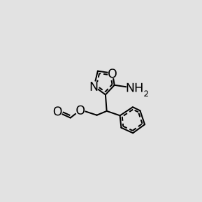 Nc1ocnc1C(COC=O)c1ccccc1